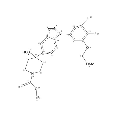 COCOc1cc(-n2ncc3cc(C4(C(=O)O)CCN(C(=O)OC(C)(C)C)CC4)ccc32)cc(F)c1F